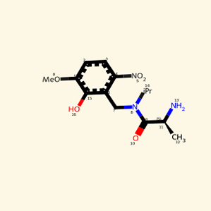 COc1ccc([N+](=O)[O-])c(CN(C(=O)[C@H](C)N)C(C)C)c1O